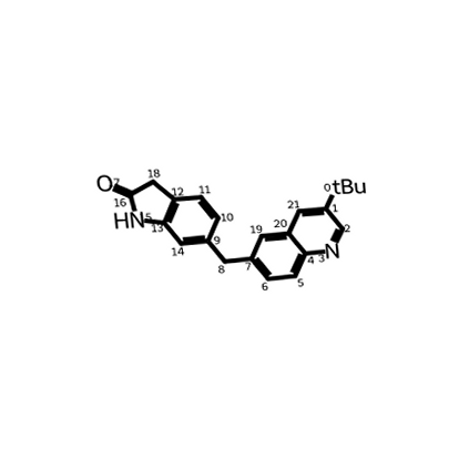 CC(C)(C)c1cnc2ccc(Cc3ccc4c(c3)NC(=O)C4)cc2c1